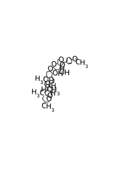 COc1ccc(C2OCC3O[C@@H](O[C@H]4CC[C@@]5(C)C(=CC[C@H]6[C@@H]7C[C@@H]8O[C@]9(CC[C@@H](C)CO9)[C@@H](C)[C@@H]8[C@@]7(C)CC[C@@H]65)C4)C(O)C(O)[C@@H]3O2)cc1